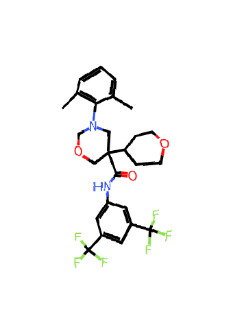 Cc1cccc(C)c1N1COCC(C(=O)Nc2cc(C(F)(F)F)cc(C(F)(F)F)c2)(C2CCOCC2)C1